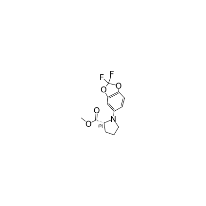 COC(=O)[C@H]1CCCN1c1ccc2c(c1)OC(F)(F)O2